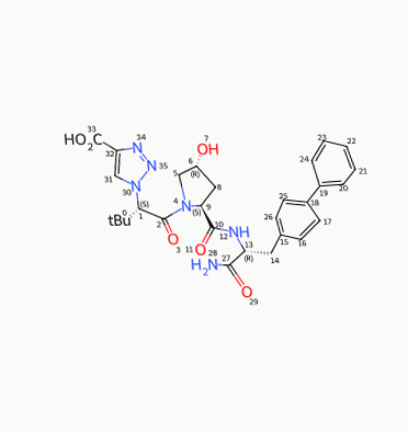 CC(C)(C)[C@@H](C(=O)N1C[C@H](O)C[C@H]1C(=O)N[C@H](Cc1ccc(-c2ccccc2)cc1)C(N)=O)n1cc(C(=O)O)nn1